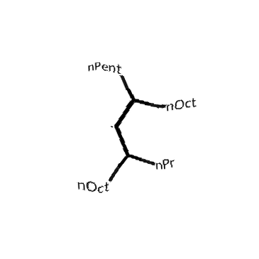 CCCCCCCCC([CH]C(CCCCC)CCCCCCCC)CCC